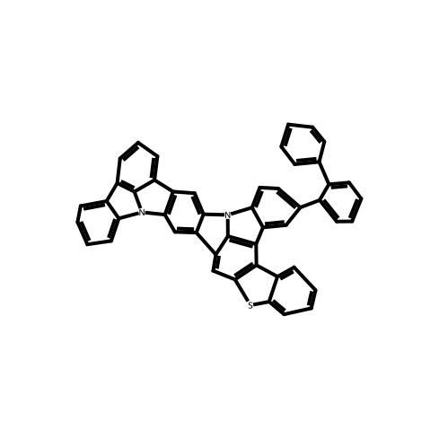 c1ccc(-c2ccccc2-c2ccc3c(c2)c2c4c(cc5c6cc7c(cc6n3c52)c2cccc3c5ccccc5n7c32)sc2ccccc24)cc1